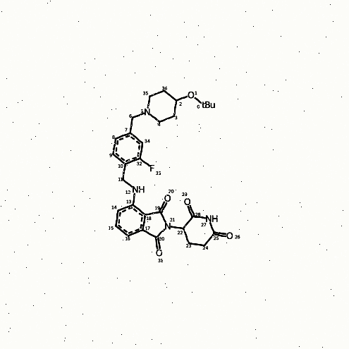 CC(C)(C)OC1CCN(Cc2ccc(CNc3cccc4c3C(=O)N(C3CCC(=O)NC3=O)C4=O)c(F)c2)CC1